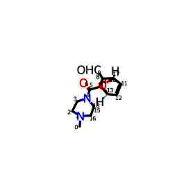 CN1CCN(C(=O)C2C(C=O)[C@H]3C=C[C@@H]2O3)CC1